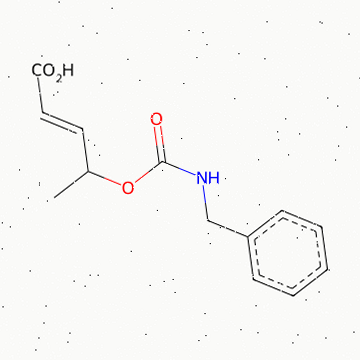 CC(C=CC(=O)O)OC(=O)NCc1ccccc1